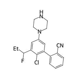 CCC(F)c1cc(N2CCNCC2)cc(-c2ccccc2C#N)c1Cl